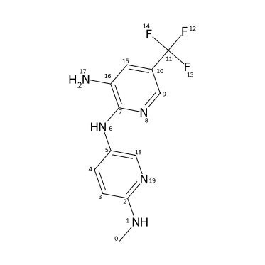 CNc1ccc(Nc2ncc(C(F)(F)F)cc2N)cn1